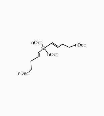 CCCCCCCCCCCCC=C[Si](C=CCCCCCCCCCCCC)(CCCCCCCC)CCCCCCCC